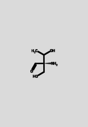 CC(O)[C@](N)(C=O)CO